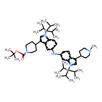 CC(C)[Si](C(C)C)(C(C)C)n1cc(C2CCN(C)CC2)c2ccc(Nc3ccc4c(c3)c(C3CCN(C(=O)OC(C)(C)C)CC3)cn4[Si](C(C)C)(C(C)C)C(C)C)cc21